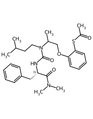 CC(=O)Sc1ccccc1OCC(C)N(CCC(C)C)C(=O)N[C@@H](Cc1ccccc1)C(=O)N(C)C